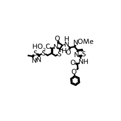 CON=C(C(=O)N[C@@H]1C(=O)N2C(C(=O)O)=C(CSc3nnc(C)s3)CS[C@@H]12)c1csc(NC(=O)COc2ccccc2)n1